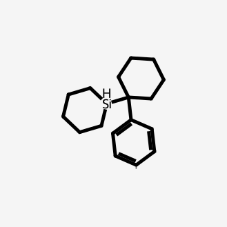 [c]1ccc(C2([SiH]3CCCCC3)CCCCC2)cc1